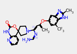 C=C(/C=C(\N=C/N)N1CCC2(CC1)OC(=O)Nc1ncccc12)Oc1cc(C(F)(F)F)c2[nH]c(C)nc2c1